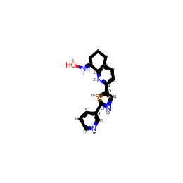 O/N=C1\CCCc2ccc(-c3cnc(-c4cccnc4)s3)nc21